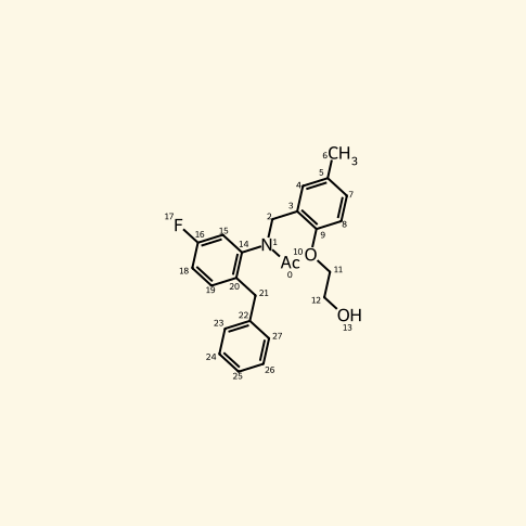 CC(=O)N(Cc1cc(C)ccc1OCCO)c1cc(F)ccc1Cc1ccccc1